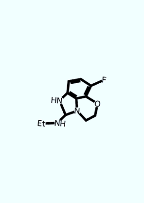 CCNC1Nc2ccc(F)c3c2N1CCO3